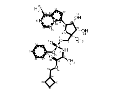 C[C@H](NP(=O)(OC[C@@]1(C)O[C@@H](c2ccc3c(N)ncnn23)[C@H](O)[C@@H]1O)Oc1ccccc1)C(=O)OCC1CCC1